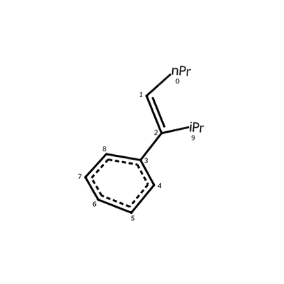 [CH2]CCC=C(c1ccccc1)C(C)C